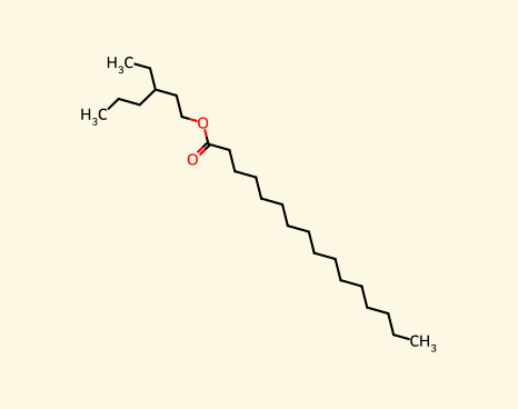 CCCCCCCCCCCCCCCC(=O)OCCC(CC)CCC